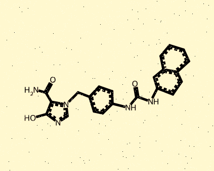 NC(=O)c1c(O)ncn1Cc1ccc(NC(=O)Nc2ccc3ccccc3c2)cc1